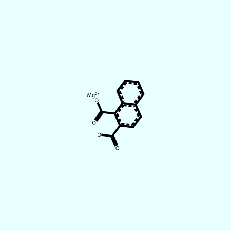 O=C([O-])c1ccc2ccccc2c1C(=O)[O-].[Mg+2]